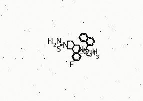 C[C@H](c1cccc2ccccc12)N(CC1CCN(C(N)=S)CC1c1cccc(F)c1)C(=O)O